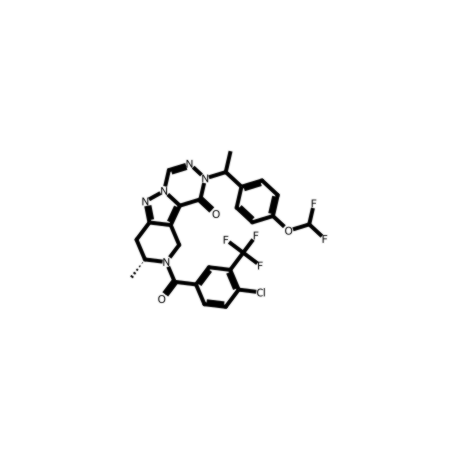 CC(c1ccc(OC(F)F)cc1)n1ncn2nc3c(c2c1=O)CN(C(=O)c1ccc(Cl)c(C(F)(F)F)c1)[C@H](C)C3